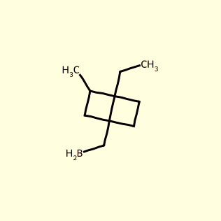 BCC12CCC1(CC)C(C)C2